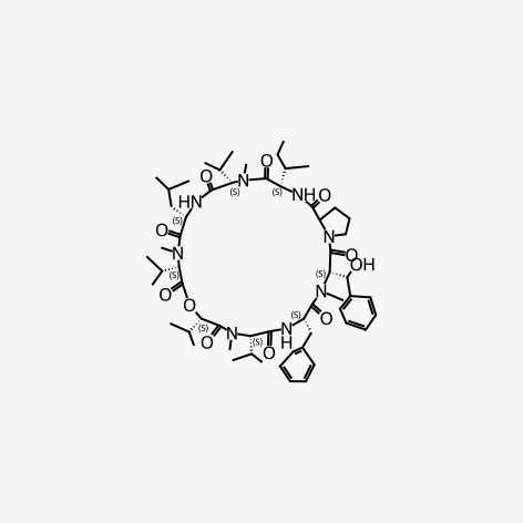 CCC(C)[C@@H]1NC(=O)C2CCCN2C(=O)[C@H](C(O)c2ccccc2)N(C)C(=O)[C@H](Cc2ccccc2)NC(=O)[C@H](C(C)C)N(C)C(=O)[C@H](C(C)C)OC(=O)[C@H](C(C)C)N(C)C(=O)[C@H](CC(C)C)NC(=O)[C@H](C(C)C)N(C)C1=O